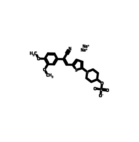 COc1ccc(C(C#N)=Cc2ccc(N3CCC(OP(=O)([O-])[O-])CC3)s2)cc1OC.[Na+].[Na+]